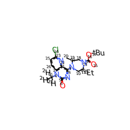 [2H]C([2H])([2H])n1c(=O)nc(N2C[C@@H](CC)N(C(=O)OC(C)(C)C)C[C@@H]2C)c2nc(Cl)ccc21